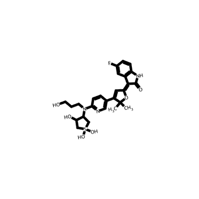 CC1(C)OC(=C2C(=O)Nc3ccc(F)cc32)C=C1c1ccc(N(CCCO)C2CS(O)(O)CC2O)nc1